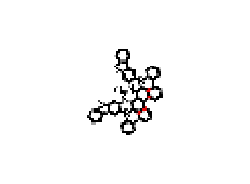 O=C1N2c3cc4sc5ccccc5c4cc3B(c3ccccc3-c3ccccc3)c3ccc4ccc5c(c4c32)N1c1cc2sc3ccccc3c2cc1B5c1ccccc1-c1ccccc1